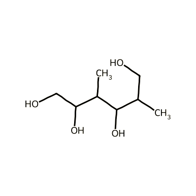 CC(CO)C(O)C(C)C(O)CO